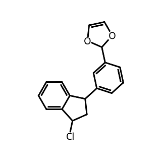 ClC1CC(c2cccc(C3OC=CO3)c2)c2ccccc21